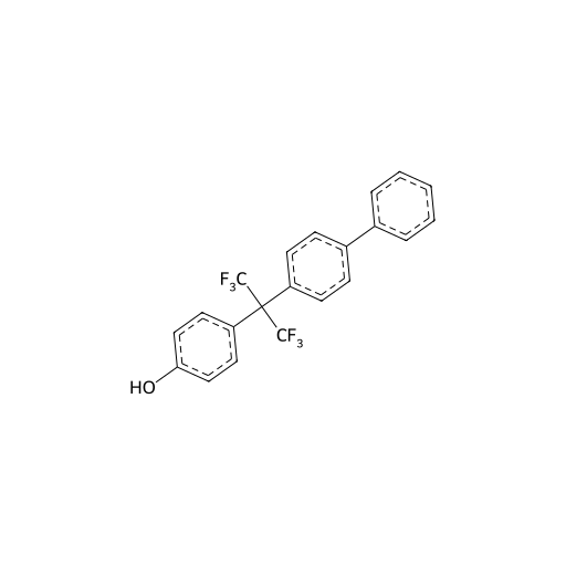 Oc1ccc(C(c2ccc(-c3ccccc3)cc2)(C(F)(F)F)C(F)(F)F)cc1